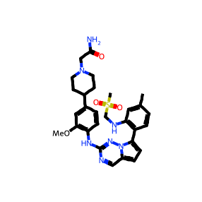 COc1cc(C2CCN(CC(N)=O)CC2)ccc1Nc1ncc2ccc(-c3ccc(C)cc3NCS(C)(=O)=O)n2n1